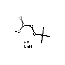 CC(C)(C)OOB(O)O.F.[NaH]